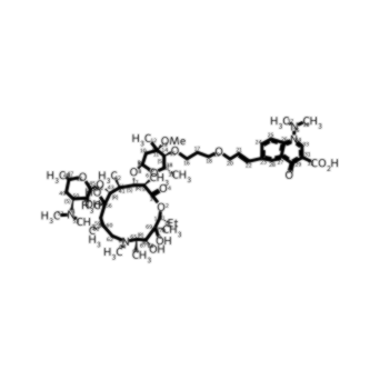 CC[C@H]1OC(=O)[C@H](C)[C@@H](O[C@H]2C[C@@](C)(OC)[C@@H](OCCCOCC=Cc3ccc4c(c3)c(=O)c(C(=O)O)cn4N(C)C)[C@H](C)O2)[C@H](C)[C@@H](O[C@@H]2O[C@H](C)C[C@H](N(C)C)[C@H]2O)[C@](C)(O)C[C@@H](C)CN(C)[C@H](C)[C@@H](O)[C@]1(C)O